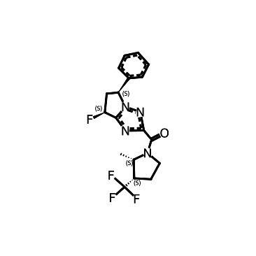 C[C@H]1[C@@H](C(F)(F)F)CCN1C(=O)c1nc2n(n1)[C@H](c1ccccc1)C[C@@H]2F